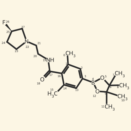 Cc1cc(B2OC(C)(C)C(C)(C)O2)cc(C)c1C(=O)NCCN1CC[C@@H](F)C1